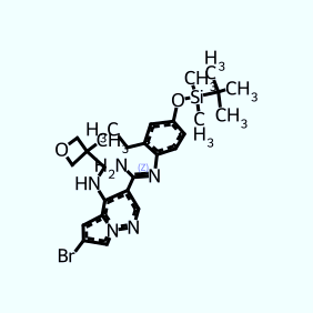 CCc1cc(O[Si](C)(C)C(C)(C)C)ccc1/N=C(\N)c1cnn2cc(Br)cc2c1NCC1(C)COC1